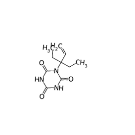 C=CC(CC)(CC)n1c(=O)[nH]c(=O)[nH]c1=O